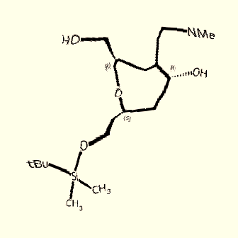 CNCC1[C@H](O)C[C@@H](CO[Si](C)(C)C(C)(C)C)O[C@H]1CO